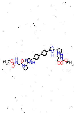 COC(=O)NCC(=O)N1CCC[C@H]1c1ncc(-c2ccc(-c3ccc(-c4cnc([C@@H]5CCCN5CC(C=O)NC(=O)OC)[nH]4)cc3)cc2)[nH]1